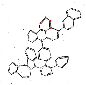 c1ccc(-c2ccccc2N(c2ccc(-c3c(-c4ccccc4)cccc3-n3c4ccccc4c4c5ccccc5ccc43)cc2)c2ccc(-c3ccc4ccccc4c3)c3ccccc23)cc1